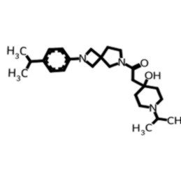 CC(C)c1ccc(N2CC3(CCN(C(=O)CC4(O)CCN(C(C)C)CC4)C3)C2)cc1